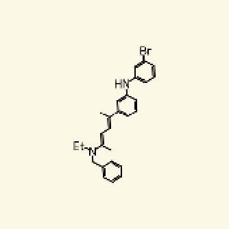 CCN(Cc1ccccc1)/C(C)=C/C=C(\C)c1cccc(Nc2cccc(Br)c2)c1